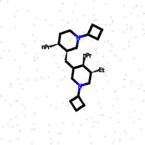 CCC[C@@H]1CCN(C2CCC2)C[C@@H]1CC1CN(C2CCC2)C[C@@H](CC)[C@@H]1CCC